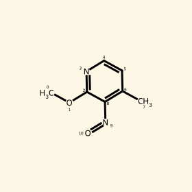 COc1nccc(C)c1N=O